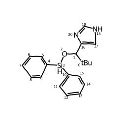 CC(C)(C)C(O[SiH](c1ccccc1)c1ccccc1)c1c[nH]cn1